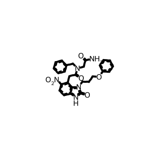 NC(=O)CN(Cc1ccccc1)C(=O)Cc1c([N+](=O)[O-])ccc2[nH]c(=O)n(CCCOc3ccccc3)c12